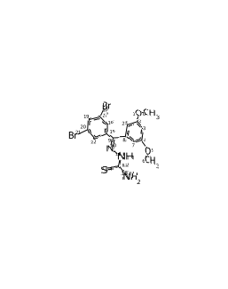 COc1cc(OC)cc(/C(=N\NC(N)=S)c2cc(Br)cc(Br)c2)c1